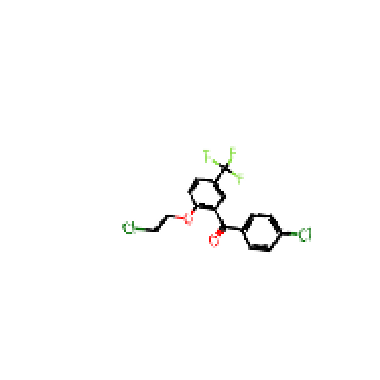 O=C(c1ccc(Cl)cc1)c1cc(C(F)(F)F)ccc1OCCCl